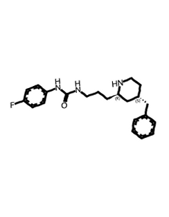 O=C(NCCC[C@@H]1C[C@@H](Cc2ccccc2)CCN1)Nc1ccc(F)cc1